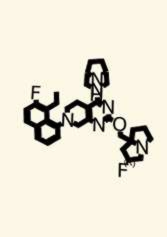 CCc1c(F)ccc2cccc(N3CCc4c(nc(OCC56CCCN5C[C@H](F)C6)nc4N4CC5CCC(C4)N5)C3)c12